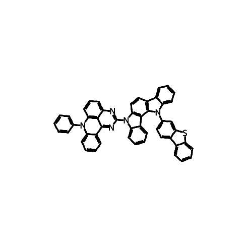 c1ccc(N2c3ccccc3-c3nc(-n4c5ccccc5c5c4ccc4c6ccccc6n(-c6ccc7c(c6)sc6ccccc67)c45)nc4cccc2c34)cc1